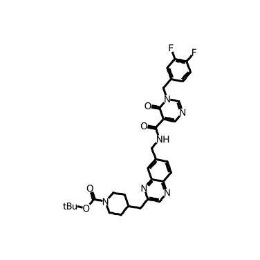 CC(C)(C)OC(=O)N1CCC(Cc2cnc3ccc(CNC(=O)c4cncn(Cc5ccc(F)c(F)c5)c4=O)cc3n2)CC1